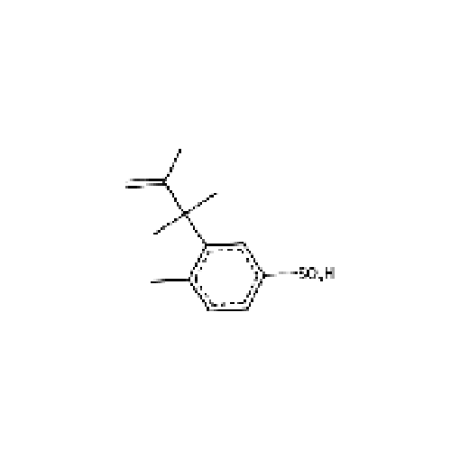 C=C(C)C(C)(C)c1cc(S(=O)(=O)O)ccc1C